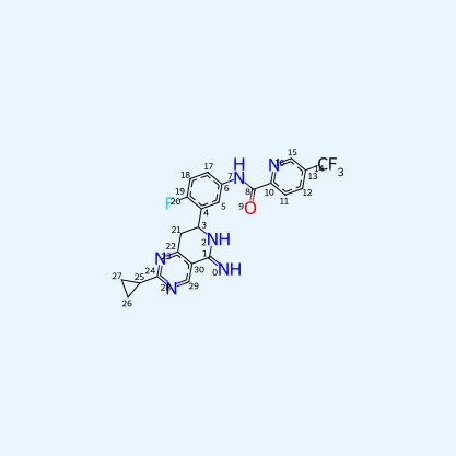 N=C1NC(c2cc(NC(=O)c3ccc(C(F)(F)F)cn3)ccc2F)Cc2nc(C3CC3)ncc21